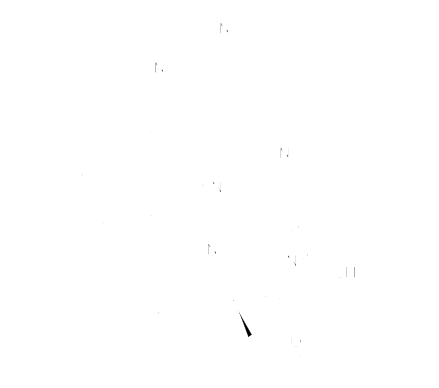 CC[C@@]12CCCN1c1nc(-c3cncnc3-c3ccccc3)ncc1N(C)C2=O